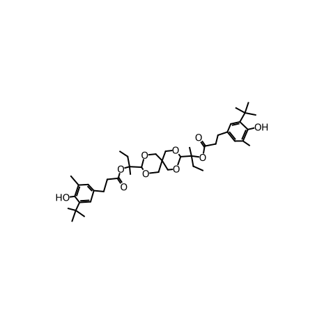 CCC(C)(OC(=O)CCc1cc(C)c(O)c(C(C)(C)C)c1)C1OCC2(CO1)COC(C(C)(CC)OC(=O)CCc1cc(C)c(O)c(C(C)(C)C)c1)OC2